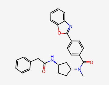 CN(C(=O)c1ccc(-c2nc3ccccc3o2)cc1)[C@@H]1CC[C@@H](NC(=O)Cc2ccccc2)C1